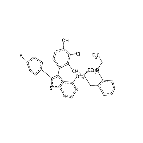 Cc1c(-c2c(-c3ccc(F)cc3)sc3ncnc(O[C@H](Cc4ccccc4OCC(F)(F)F)C(=O)O)c23)ccc(O)c1Cl